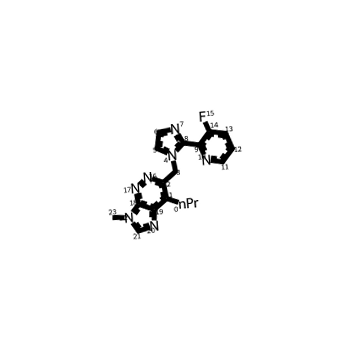 CCCc1c(Cn2ccnc2-c2ncccc2F)nnc2c1ncn2C